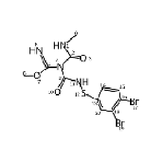 CNC(=O)N(C(=N)OC)C(=O)NSc1ccc(Br)c(Br)c1